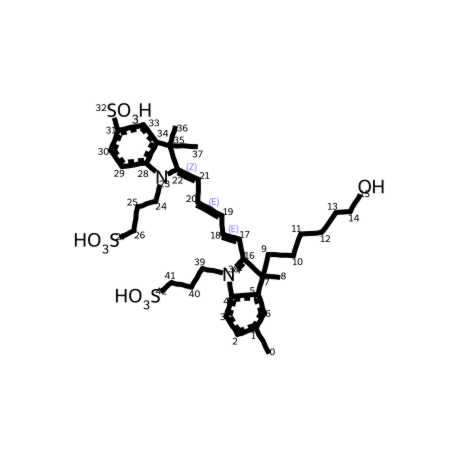 Cc1ccc2c(c1)C(C)(CCCCCCO)C(/C=C/C=C/C=C1\N(CCCS(=O)(=O)O)c3ccc(S(=O)(=O)O)cc3C1(C)C)=[N+]2CCCS(=O)(=O)O